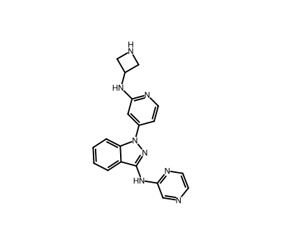 c1ccc2c(c1)c(Nc1cnccn1)nn2-c1ccnc(NC2CNC2)c1